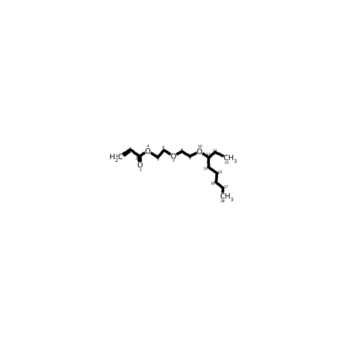 C=CC(=O)OCCOCCOC(CC)CCCCC